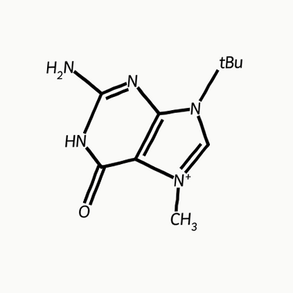 C[n+]1cn(C(C)(C)C)c2nc(N)[nH]c(=O)c21